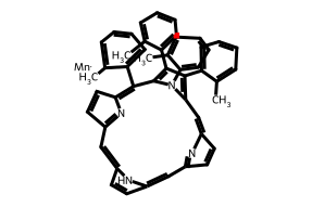 Cc1ccccc1-c1c(-c2ccccc2C)c2c(-c3ccccc3C)c3nc(cc4ccc(cc5nc(cc1n2-c1ccccc1C)C=C5)[nH]4)C=C3.[Mn]